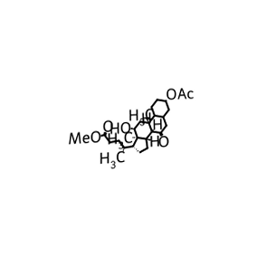 COC(=O)CC[C@@H](C)[C@H]1CC[C@H]2[C@@H]3C(=O)CC4C[C@H](OC(C)=O)CC[C@]4(C)[C@H]3C[C@H](O)[C@]12C